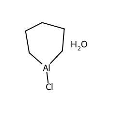 O.[Cl][Al]1[CH2]CCC[CH2]1